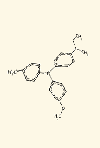 CCC(C)c1ccc(N(c2ccc(C)cc2)c2ccc(OC)cc2)cc1